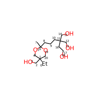 CCC1(CO)COC(C)(CCCC(CO)(CO)CCO)OC1